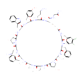 CCCC[C@H]1C(=O)N2C[C@H](O)C[C@@H]2C(=O)N[C@@H](CC(=O)O)C(=O)N[C@@H](C(C)C)C(=O)N(C)[C@@H](Cc2ccccc2)C(=O)N[C@@H](CCN)C(=O)N2C[C@H](O)C[C@@H]2C(=O)N[C@@H](Cc2c[nH]c3ccccc23)C(=O)N[C@@H](Cc2ccc(O)cc2)C(=O)N[C@@H](CCCN)C(=O)N[C@H](C(=O)NCC(N)=O)CSCC(=O)N[C@@H](Cc2ccc(F)c(F)c2)C(=O)N(C)[C@@H](Cc2ccccc2)C(=O)N1C